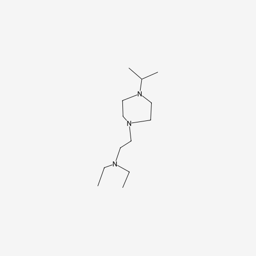 CCN(CC)CCN1CCN(C(C)C)CC1